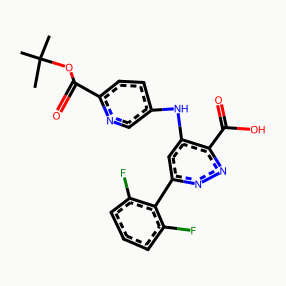 CC(C)(C)OC(=O)c1ccc(Nc2cc(-c3c(F)cccc3F)nnc2C(=O)O)cn1